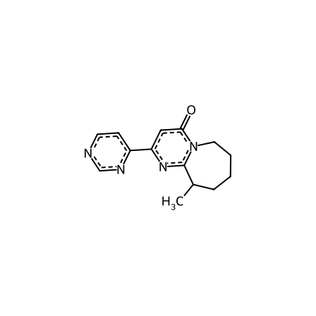 CC1CCCCn2c1nc(-c1ccncn1)cc2=O